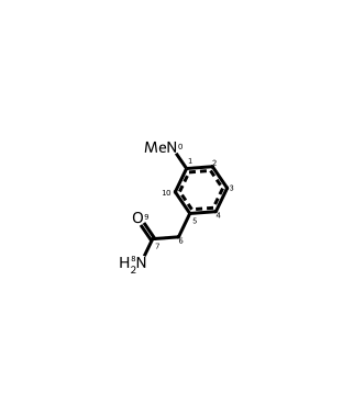 CNc1cccc(CC(N)=O)c1